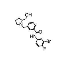 O=C(Nc1ccc(F)c(Br)c1)c1cccc(CN2CCCC2CO)c1